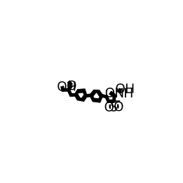 COC(CO)Cc1ccc(-c2ccc(CC[C@](C)(C(=O)NO)S(C)(=O)=O)cc2)cc1